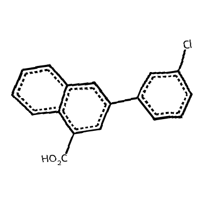 O=C(O)c1cc(-c2cccc(Cl)c2)cc2ccccc12